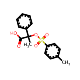 Cc1ccc(S(=O)(=O)OC(C)(C(=O)O)c2ccccc2)cc1